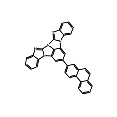 c1ccc2c(c1)ccc1cc(-c3cc4c5c(c3)n3c6ccccc6nc3n5c3nc5ccccc5n43)ccc12